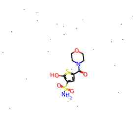 NS(=O)(=O)c1cc(C(=O)N2CCOCC2)sc1O